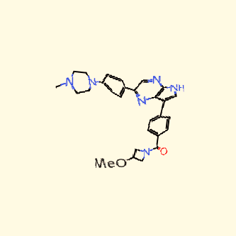 COC1CN(C(=O)c2ccc(-c3c[nH]c4ncc(-c5ccc(N6CCN(C)CC6)cc5)nc34)cc2)C1